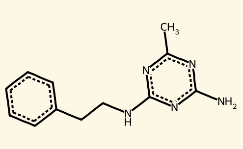 Cc1nc(N)nc(NCCc2ccccc2)n1